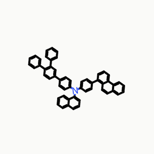 c1ccc(-c2ccc(-c3ccc(N(c4ccc(-c5cccc6c5ccc5ccccc56)cc4)c4cccc5ccccc45)cc3)cc2-c2ccccc2)cc1